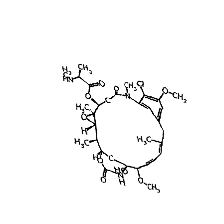 CN[C@@H](C)C(=O)O[C@H]1CC(=O)N(C)c2cc(cc(OC)c2Cl)C/C(C)=C/C=C/[C@@H](OC)C2(O)C[C@H](OC(=O)N2)[C@@H](C)[C@@H]2O[C@@]12C